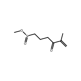 C=C(C)C(=O)CCC[Si](=O)OC